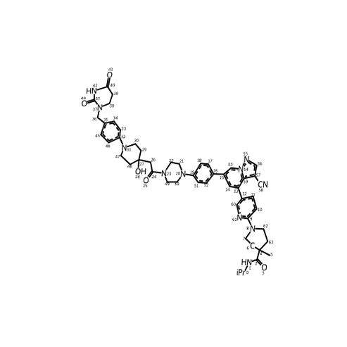 CC(C)NC(=O)C1(C)CCN(c2ccc(-c3cc(-c4ccc(N5CCN(C(=O)CC6(O)CCN(c7ccc(CN8CCC(=O)NC8=O)cc7)CC6)CC5)cc4)cn4ncc(C#N)c34)cn2)CC1